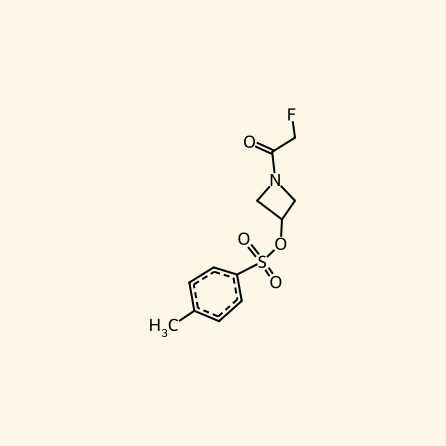 Cc1ccc(S(=O)(=O)OC2CN(C(=O)CF)C2)cc1